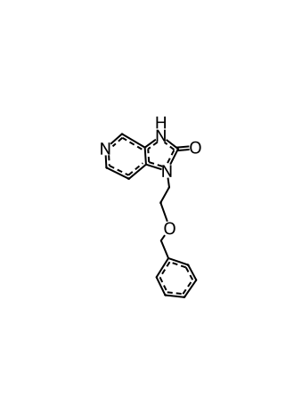 O=c1[nH]c2cnccc2n1CCOCc1ccccc1